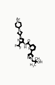 CC(=O)N1CCC(N2CC(n3cc(NC(=O)c4cccc(-c5cnn(CC(C)(C)O)c5)n4)c(C(F)F)n3)C2)CC1